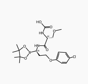 COC[C@@H](NC(=O)O)C(=O)N[C@@H](CCOc1ccc(Cl)cc1)B1OC(C)(C)C(C)(C)O1